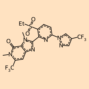 CCS(=O)(=O)c1ccc(-n2cc(C(F)(F)F)cn2)nc1-c1nc2cc(C(F)(F)F)n(C)c(=O)c2n1C